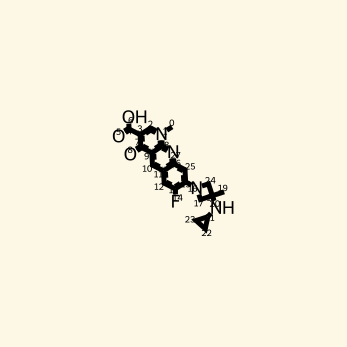 Cn1cc(C(=O)O)c(=O)c2cc3cc(F)c(N4CC(C)(NC5CC5)C4)cc3nc21